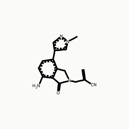 C=C(C#N)CN1Cc2c(-c3cnn(C)c3)ccc(N)c2C1=O